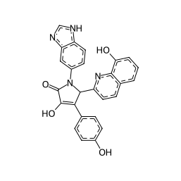 O=C1C(O)=C(c2ccc(O)cc2)C(c2ccc3cccc(O)c3n2)N1c1ccc2[nH]cnc2c1